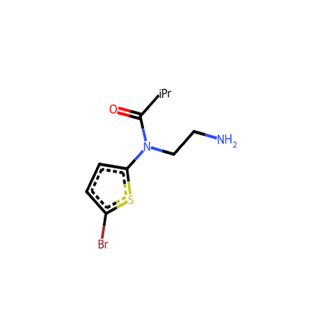 CC(C)C(=O)N(CCN)c1ccc(Br)s1